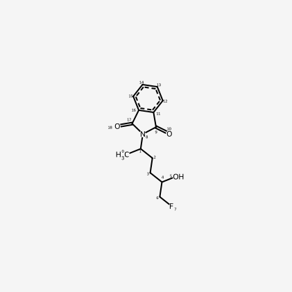 CC(CCC(O)CF)N1C(=O)c2ccccc2C1=O